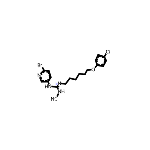 N#CN/C(=N\CCCCCCOc1ccc(Cl)cc1)Nc1ccc(Br)nc1